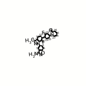 Cc1nn(-c2ccc3onc(N)c3c2)c2c(F)c(-c3ccc(-n4ccccc4=O)cc3F)ccc12